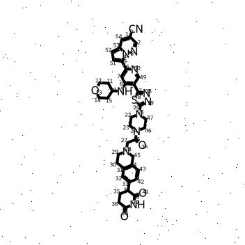 N#Cc1cnn2c(-c3cc(NC4CCOCC4)c(-c4nnc(N5CCN(C(=O)CN6CCc7cc(C8CCC(=O)NC8=O)ccc7C6)CC5)s4)cn3)ccc2c1